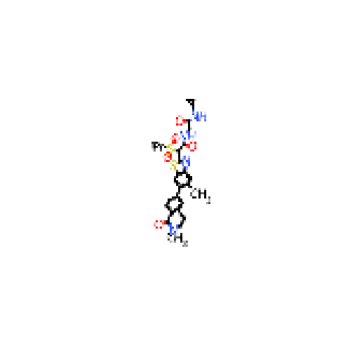 Cc1cc2nc(C(C(=O)NCC(=O)NC3CC3)S(=O)(=O)C(C)C)sc2cc1-c1ccc2c(=O)n(C)ccc2c1